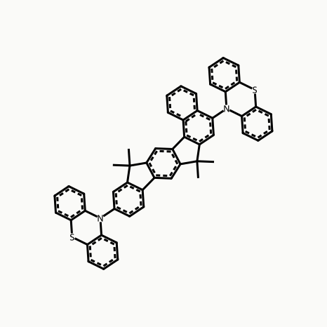 CC1(C)c2cc(N3c4ccccc4Sc4ccccc43)ccc2-c2cc3c(cc21)-c1c(cc(N2c4ccccc4Sc4ccccc42)c2ccccc12)C3(C)C